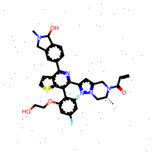 C=CC(=O)N1Cc2cc(-c3nc(-c4ccc5c(c4)CN(C)C5O)c4ccsc4c3-c3c(F)cc(F)cc3OCCO)nn2C[C@H]1C